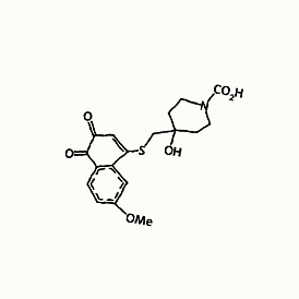 COc1ccc2c(c1)C(SCC1(O)CCN(C(=O)O)CC1)=CC(=O)C2=O